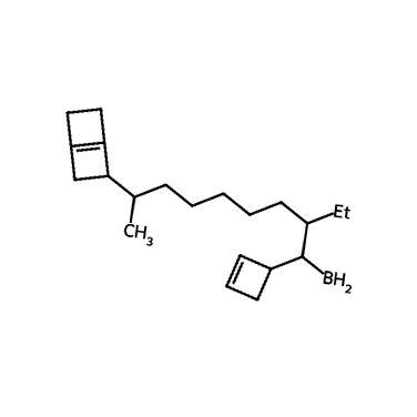 BC(C1C=CC1)C(CC)CCCCCC(C)C1CC2=C1CC2